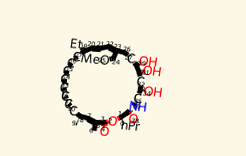 CCC[C@@H]1OC(=O)/C(C)=C/[C@H](C)CCCCCCCCC(CC)/C=C/C=C(\COC)CC[C@@H](O)[C@@H](O)C[C@H](O)CNC1=O